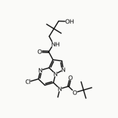 CN(C(=O)OC(C)(C)C)c1cc(Cl)nc2c(C(=O)NCC(C)(C)CO)cnn12